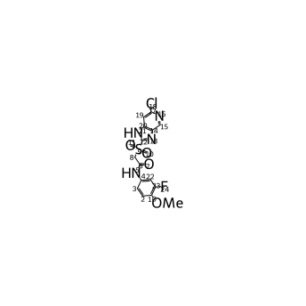 COc1ccc(NC(=O)CS(=O)(=O)c2nc3cnc(Cl)cc3[nH]2)cc1F